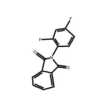 O=C1c2ccccc2C(=O)N1c1ccc(F)cc1F